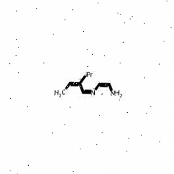 C\C=C(/C=N\C=C/N)C(C)C